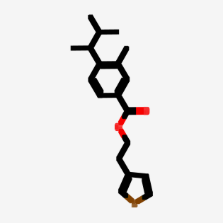 Cc1cc(C(=O)OCCc2ccsc2)ccc1C(C)C(C)C